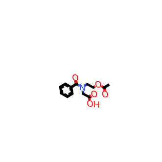 CC(=O)OCCN(CC(=O)O)C(=O)c1ccccc1